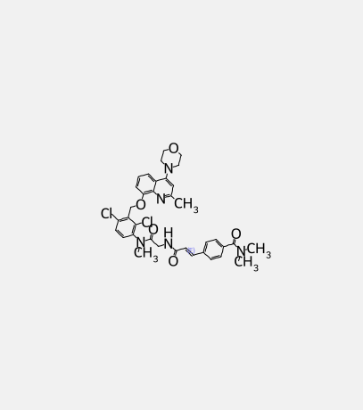 Cc1cc(N2CCOCC2)c2cccc(OCc3c(Cl)ccc(N(C)C(=O)CNC(=O)/C=C/c4ccc(C(=O)N(C)C)cc4)c3Cl)c2n1